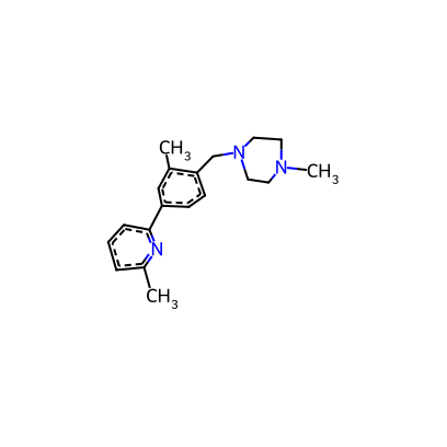 Cc1cccc(-c2ccc(CN3CCN(C)CC3)c(C)c2)n1